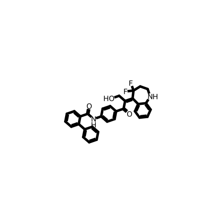 O=C(C(CO)=C1c2ccccc2NCCC1(F)F)c1ccc(NC(=O)c2ccccc2-c2ccccc2)cc1